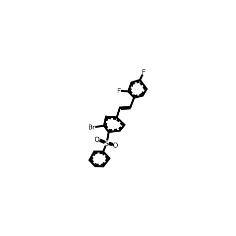 O=S(=O)(c1ccccc1)c1ccc(/C=C/c2ccc(F)cc2F)cc1Br